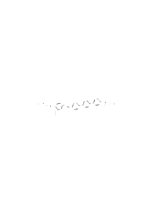 C=CCCOc1ccc(OCc2ccc(-c3ccc(-c4ccc(OCCCC)cc4)c(F)c3F)cc2)cc1F